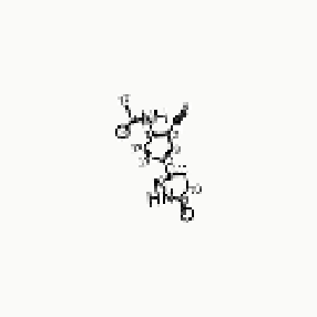 C#Cc1cc(C2=NNC(=O)CC2)ccc1NC(C)=O